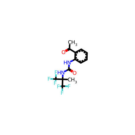 CC(=O)c1ccccc1NC(=O)NC(C)(C(F)(F)F)C(F)(F)F